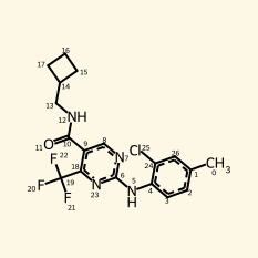 Cc1ccc(Nc2ncc(C(=O)NCC3CCC3)c(C(F)(F)F)n2)c(Cl)c1